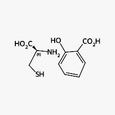 N[C@@H](CS)C(=O)O.O=C(O)c1ccccc1O